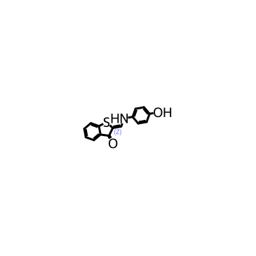 O=C1/C(=C/Nc2ccc(O)cc2)Sc2ccccc21